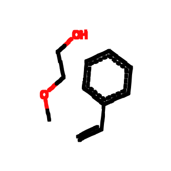 C=Cc1ccccc1.COCCO